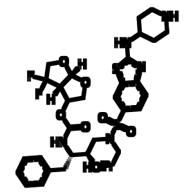 CC(C)CN(C[C@@H](O)[C@H](Cc1ccccc1)NC(=O)OC1CO[C@H]2OCC(F)(F)[C@@H]12)S(=O)(=O)c1ccc2nc(NC3CCNCC3)sc2c1